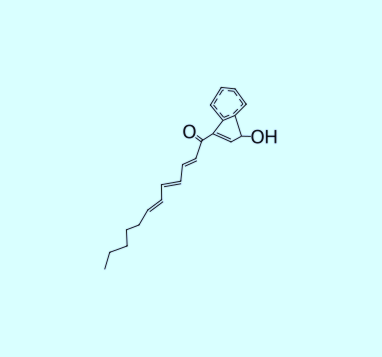 CCCCCC=CC=CC=CC(=O)C1=CC(O)c2ccccc21